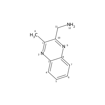 Cc1nc2ccccc2nc1CN